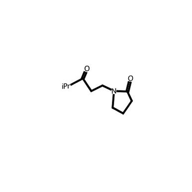 CC(C)C(=O)CCN1CCCC1=O